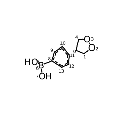 C1COOC1.OB(O)c1ccccc1